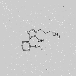 CCCCc1cnn(-c2ccccc2C)c1O